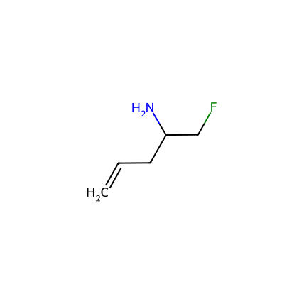 C=CCC(N)CF